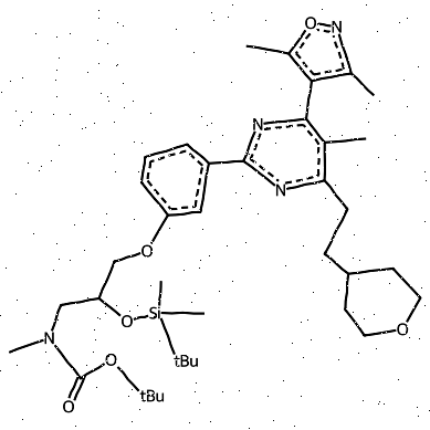 Cc1noc(C)c1-c1nc(-c2cccc(OCC(CN(C)C(=O)OC(C)(C)C)O[Si](C)(C)C(C)(C)C)c2)nc(CCC2CCOCC2)c1C